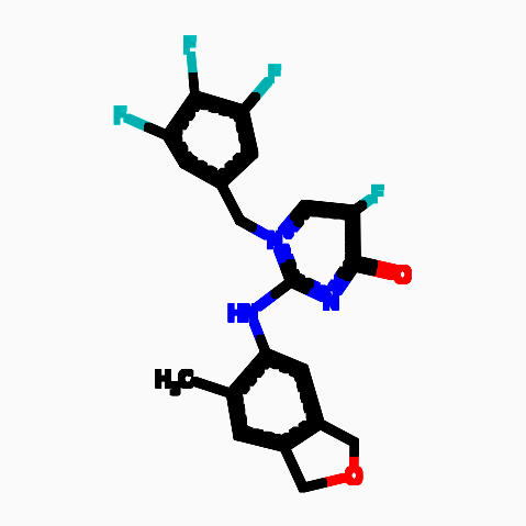 Cc1cc2c(cc1Nc1nc(=O)c(F)cn1Cc1cc(F)c(F)c(F)c1)COC2